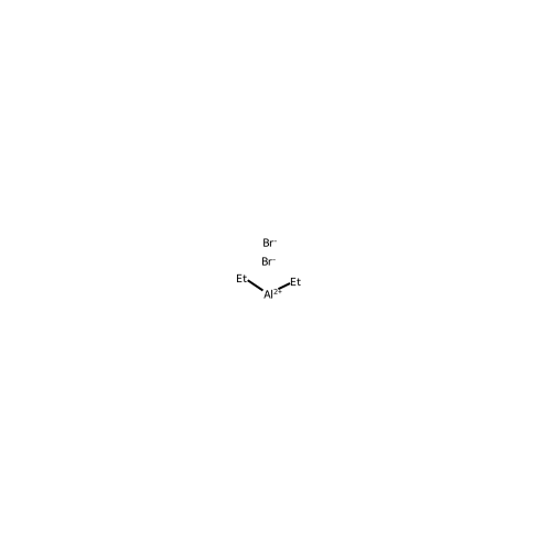 C[CH2][Al+2][CH2]C.[Br-].[Br-]